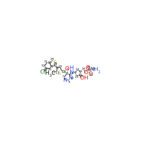 Cc1sc(C(=O)c2cncnc2N[C@@H]2C[C@H](COS(N)(=O)=O)[C@@H](O)C2)cc1C1SCc2ccc(Cl)cc21